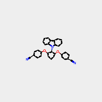 N#Cc1ccc(Oc2cccc(Oc3ccc(C#N)cc3)c2-n2c3ccccc3c3ccccc32)cc1